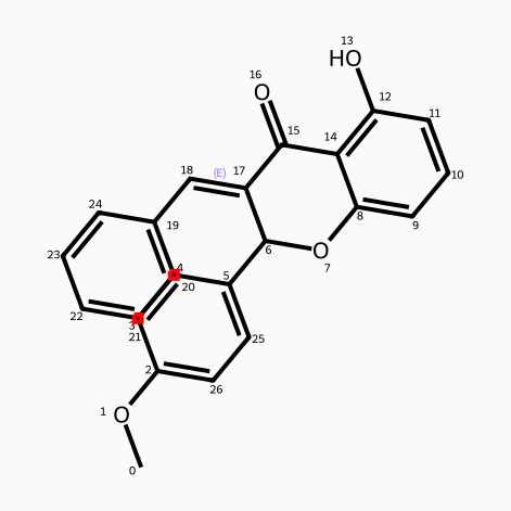 COc1ccc(C2Oc3cccc(O)c3C(=O)/C2=C/c2ccccc2)cc1